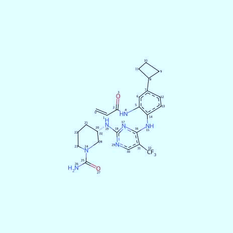 C=CC(=O)Nc1cc(C2CCC2)ccc1Nc1nc(N[C@H]2CCCN(C(N)=O)C2)ncc1C(F)(F)F